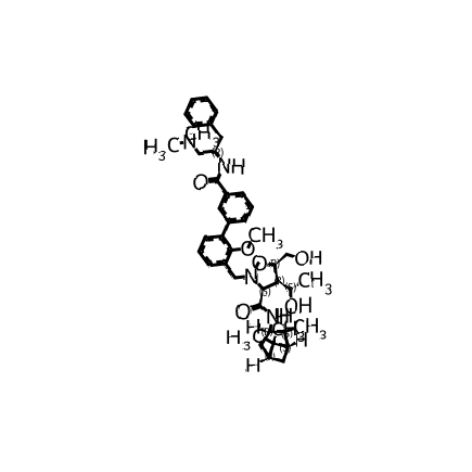 COc1c(CN2O[C@@H](CO)[C@@H]([C@H](C)O)[C@H]2C(=O)N[C@@H]2C[C@H]3C[C@@H]([C@@H]2C)C3(C)C)cccc1-c1cccc(C(=O)N[C@H](Cc2ccccc2)CN(C)C)c1